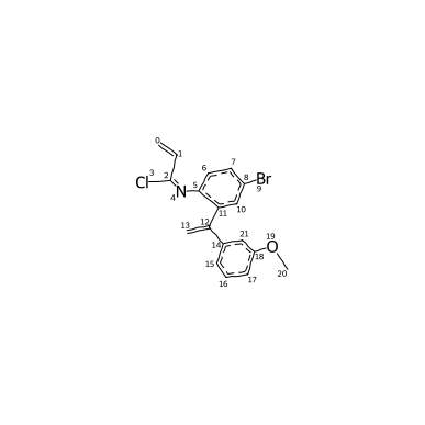 C=C/C(Cl)=N\c1ccc(Br)cc1C(=C)c1cccc(OC)c1